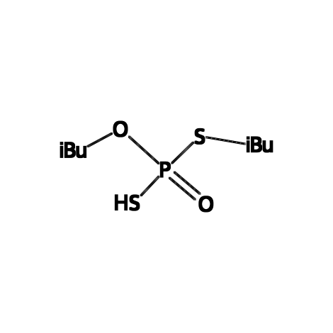 CCC(C)OP(=O)(S)SC(C)CC